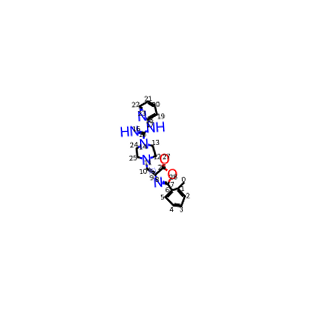 Cc1ccccc1C1=N/C(=C/N2CCN(C(=N)Nc3ccccn3)CC2)C(=O)O1